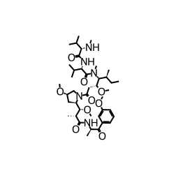 CC[C@H](C)[C@@H]([C@@H](CC(=O)N1C[C@H](OC)C[C@@H]1[C@H](OC)[C@@H](C)C(=O)N[C@H](C)C(=O)c1cccc(OC)c1)OC)N(C)C(=O)[C@@H](NC(=O)[C@@H](NC)C(C)C)C(C)C